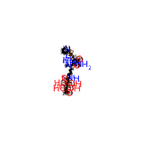 CN[C@@H](CCCCNC(=O)[C@@H](O)[C@H](O)[C@H](O)[C@@H](O)C(C)=O)C(=O)N[C@@H](CSSc1ccccn1)C(N)=O